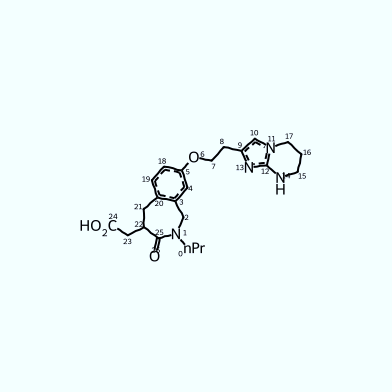 CCCN1Cc2cc(OCCc3cn4c(n3)NCCC4)ccc2CC(CC(=O)O)C1=O